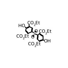 CCOC(=O)c1cc(S(=O)(=O)c2cc(C(=O)OCC)c(O)cc2C(=O)OCC)c(C(=O)OCC)cc1O